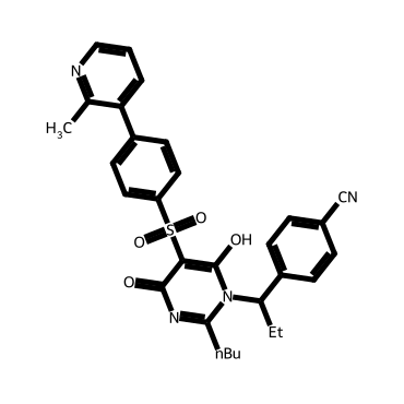 CCCCc1nc(=O)c(S(=O)(=O)c2ccc(-c3cccnc3C)cc2)c(O)n1C(CC)c1ccc(C#N)cc1